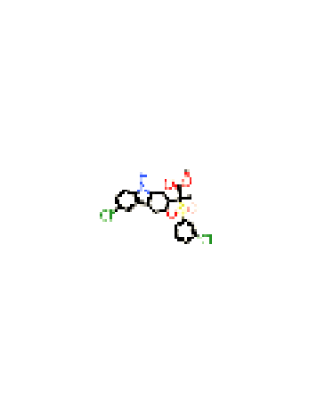 COC(=O)C(C)(C1CCc2c([nH]c3ccc(Cl)cc23)C1)S(=O)(=O)c1cccc(Cl)c1